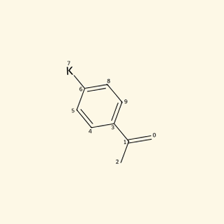 C=C(C)c1cc[c]([K])cc1